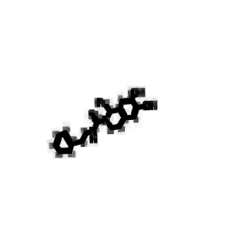 CC(C)C1c2cc(O)c(O)cc2CCN1C(=S)NCCc1ccccc1